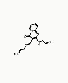 C=CCN=Cc1c(NCC=C)nc2ccccn2c1=O